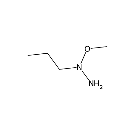 CCCN(N)OC